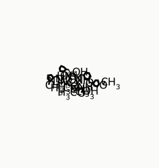 CC[C@H](C)[C@@H](C(=O)N[C@@H](Cc1ccccc1)[C@@H](O)CN(Cc1cccc(Oc2ccc(OC)cc2)c1)NC(=O)[C@@H](NC(=O)O)C(C)(C)C)N1CCN(Cc2cccc(C)n2)C1=O